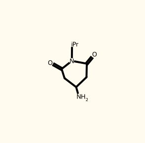 CC(C)N1C(=O)CC(N)CC1=O